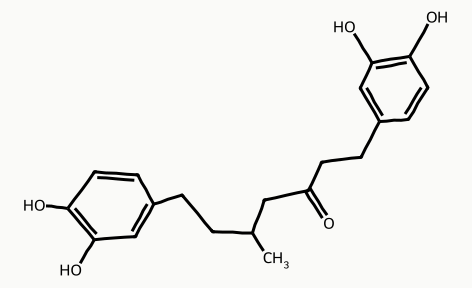 CC(CCc1ccc(O)c(O)c1)CC(=O)CCc1ccc(O)c(O)c1